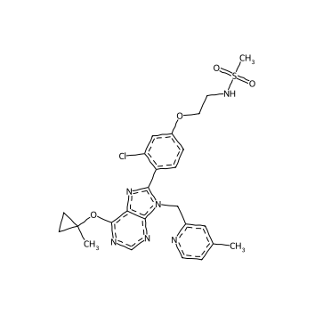 Cc1ccnc(Cn2c(-c3ccc(OCCNS(C)(=O)=O)cc3Cl)nc3c(OC4(C)CC4)ncnc32)c1